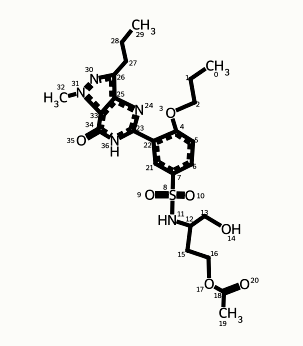 CCCOc1ccc(S(=O)(=O)NC(CO)CCOC(C)=O)cc1-c1nc2c(CCC)nn(C)c2c(=O)[nH]1